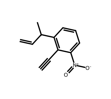 C#Cc1c([C](C)C=C)cccc1[N+](=O)[O-]